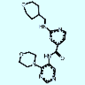 O=C(Nc1cncnc1N1CCOCC1)c1ccnc(NCC2CCOCC2)n1